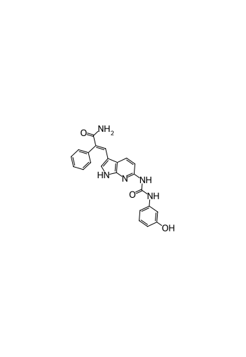 NC(=O)/C(=C/c1c[nH]c2nc(NC(=O)Nc3cccc(O)c3)ccc12)c1ccccc1